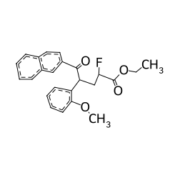 CCOC(=O)C(F)CC(C(=O)c1ccc2ccccc2c1)c1ccccc1OC